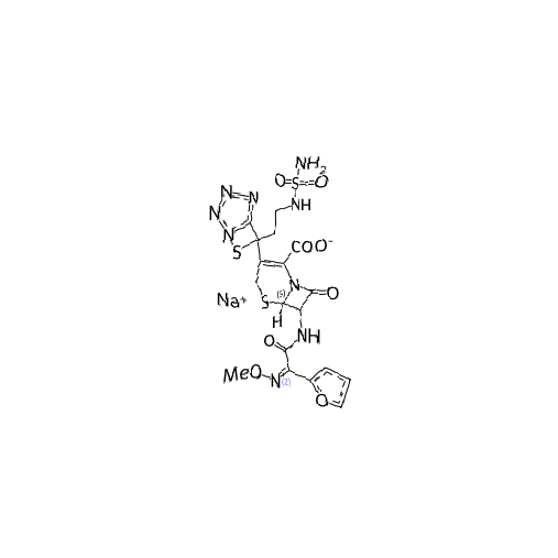 CO/N=C(\C(=O)NC1C(=O)N2C(C(=O)[O-])=C(C3(CCNS(N)(=O)=O)Sn4nnnc43)CS[C@@H]12)c1ccco1.[Na+]